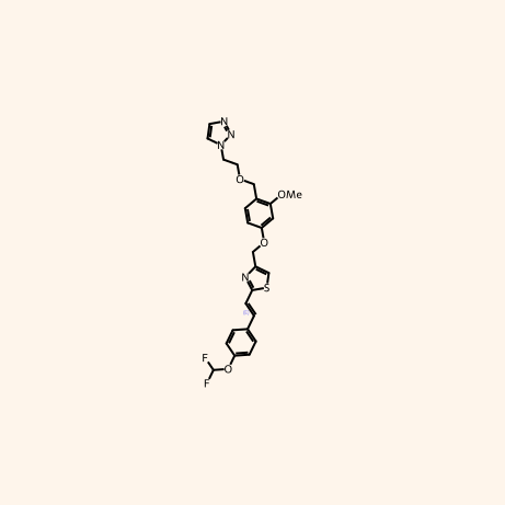 COc1cc(OCc2csc(/C=C/c3ccc(OC(F)F)cc3)n2)ccc1COCCn1ccnn1